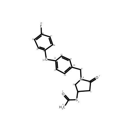 CC(=O)SC1CC(=O)N(Cc2ccc(Oc3ccc(F)cc3)cc2)C1